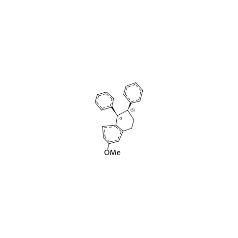 COc1ccc2c(c1)CC[C@H](c1ccccc1)[C@@H]2c1ccccc1